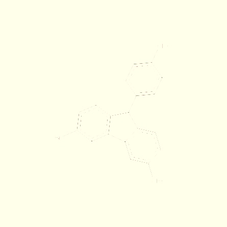 O=Cc1ccc(C2c3ccc(Br)cc3-c3cc(C=O)ccc32)cc1